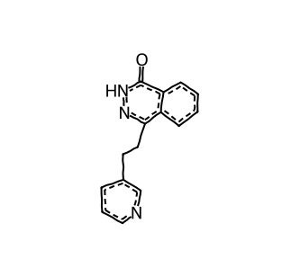 O=c1[nH]nc(CCc2cccnc2)c2ccccc12